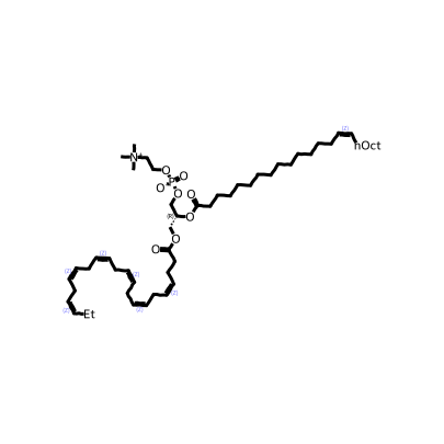 CC/C=C\C/C=C\C/C=C\C/C=C\C/C=C\C/C=C\CCC(=O)OC[C@H](COP(=O)([O-])OCC[N+](C)(C)C)OC(=O)CCCCCCCCCCCCC/C=C\CCCCCCCC